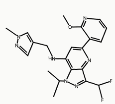 COc1ncccc1-c1cc(NCc2cnn(C)c2)c2c(n1)c(C(F)F)nn2C(C)C